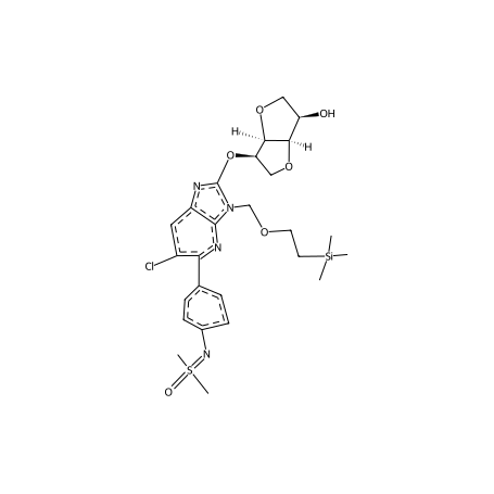 C[Si](C)(C)CCOCn1c(O[C@@H]2CO[C@H]3[C@@H]2OC[C@H]3O)nc2cc(Cl)c(-c3ccc(N=S(C)(C)=O)cc3)nc21